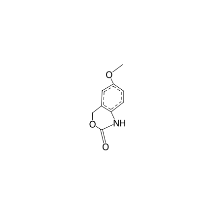 COc1ccc2c(c1)COC(=O)N2